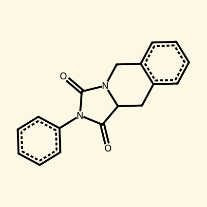 O=C1C2Cc3ccccc3CN2C(=O)N1c1ccccc1